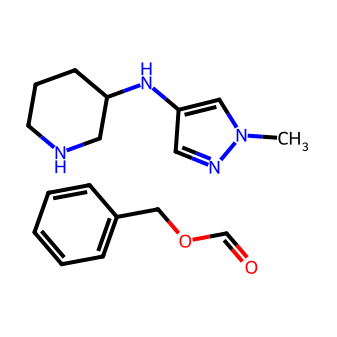 Cn1cc(NC2CCCNC2)cn1.O=COCc1ccccc1